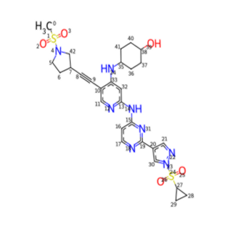 CS(=O)(=O)N1CCC(C#Cc2cnc(Nc3ccnc(-c4cnn(S(=O)(=O)C5CC5)c4)n3)cc2NC2CCC(O)CC2)C1